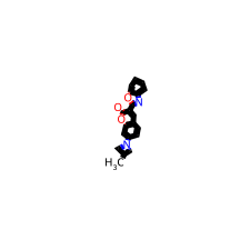 CC1CN(c2ccc3cc(-c4nc5ccccc5o4)c(=O)oc3c2)C1